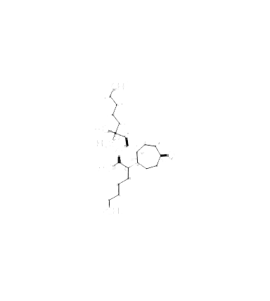 CCCCCC(C(=O)O)[C@@H]1CCC(=O)CC[C@H]1C=CC(C)(O)CCCCC